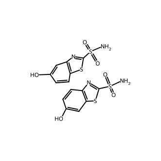 NS(=O)(=O)c1nc2cc(O)ccc2s1.NS(=O)(=O)c1nc2ccc(O)cc2s1